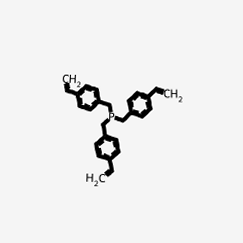 C=Cc1ccc(CP(Cc2ccc(C=C)cc2)Cc2ccc(C=C)cc2)cc1